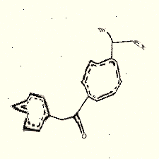 CCC(Br)c1ccc(C(=O)c2ccccc2)cc1